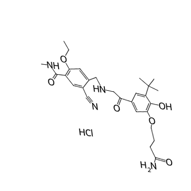 CCOc1cc(CNCC(=O)c2cc(OCCCC(N)=O)c(O)c(C(C)(C)C)c2)c(C#N)cc1C(=O)NC.Cl